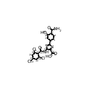 NC(=O)c1ccc(-c2nc(C(=O)O)c(NC(=O)c3c(Cl)cc(Cl)cc3Cl)s2)cc1O